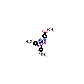 CCOC(=O)C1CCC(Nc2ncnc(N(Cc3ccc(OC)cc3)Cc3ccc(OC)cc3)c2[N+](=O)[O-])CC1